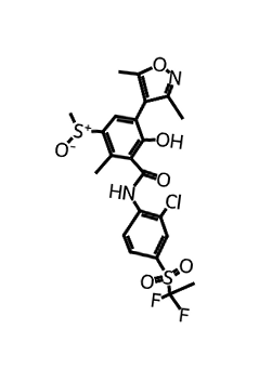 Cc1noc(C)c1-c1cc([S+](C)[O-])c(C)c(C(=O)Nc2ccc(S(=O)(=O)C(C)(F)F)cc2Cl)c1O